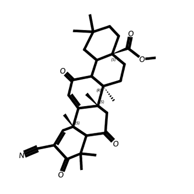 COC(=O)[C@]12CCC(C)(C)CC1C1C(=O)C=C3[C@@]4(C)C=C(C#N)C(=O)C(C)(C)C4C(=O)C[C@@]3(C)[C@]1(C)CC2